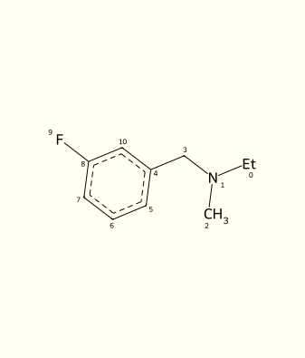 CCN(C)Cc1cccc(F)c1